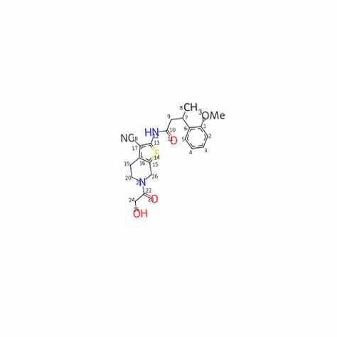 COc1ccccc1C(C)CC(=O)Nc1sc2c(c1C#N)CCN(C(=O)CO)C2